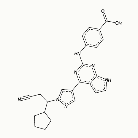 N#CCC(C1CCCC1)n1cc(-c2nc(Nc3ccc(C(=O)O)cc3)nc3[nH]ccc23)cn1